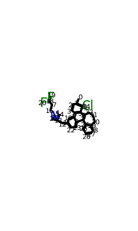 Cc1cccc(C2=C(c3ccc(CC4CN(CCC(F)F)C4)cc3)c3ccccc3CCC2)c1Cl